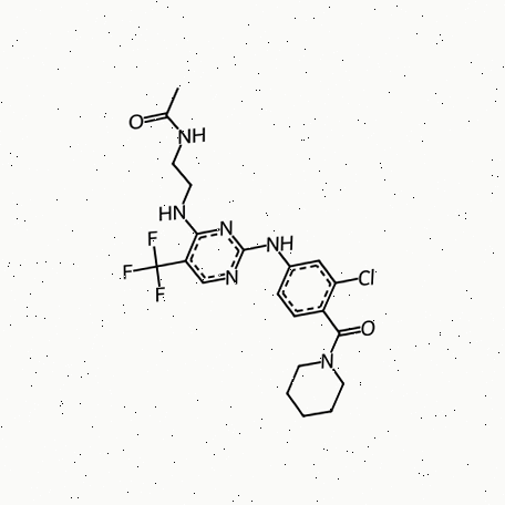 CC(=O)NCCNc1nc(Nc2ccc(C(=O)N3CCCCC3)c(Cl)c2)ncc1C(F)(F)F